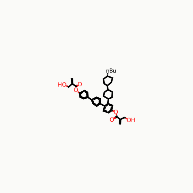 C=C(CO)C(=O)Oc1ccc(-c2ccc(-c3ccc(OC(=O)C(=C)CO)cc3C3CCC(C4CCC(CCCC)CC4)CC3)cc2)cc1